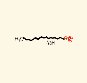 CCCCCCCCCCCCCCCCCO[SH](=O)=O.[NaH]